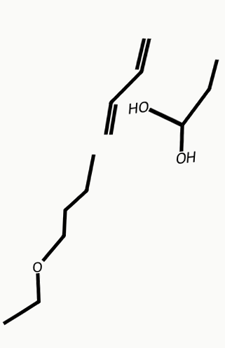 C=CC=C.CCC(O)O.CCCCOCC